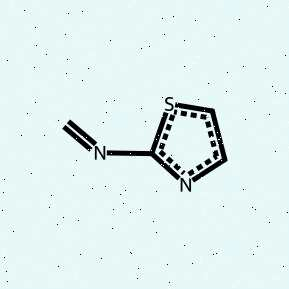 C=Nc1nccs1